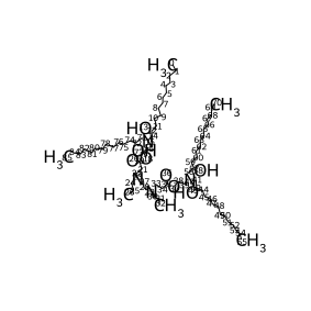 CCCCCCCCCCCCC(O)CN(CCOC(=O)CCN(CCC)CCN(CCC)CCC(=O)OCCN(CC(O)CCCCCCCCCCCC)CC(O)CCCCCCCCCCCC)CC(O)CCCCCCCCCCCC